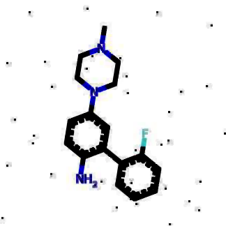 CN1CCN(c2ccc(N)c(-c3ccccc3F)c2)CC1